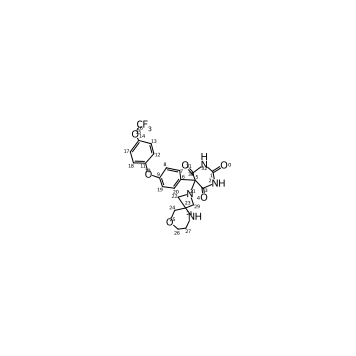 O=C1NC(=O)C(c2ccc(Oc3ccc(OC(F)(F)F)cc3)cc2)(N2CC3(COCCN3)C2)C(=O)N1